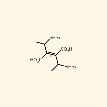 CCCCCCC(C)/C(C(=O)O)=C(\C(=O)O)C(C)CCCCCC